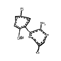 COc1ccc(Cl)cc1-c1nc(Cl)cnc1N